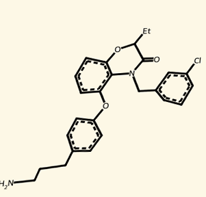 CCC1Oc2cccc(Oc3ccc(CCCN)cc3)c2N(Cc2cccc(Cl)c2)C1=O